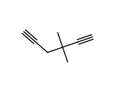 C#CCC(C)(C)C#C